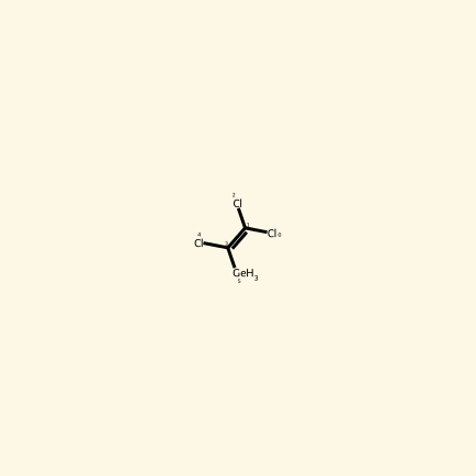 ClC(Cl)=[C](Cl)[GeH3]